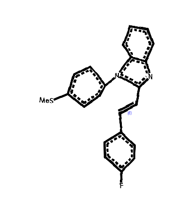 CSc1ccc(-n2c(/C=C/c3ccc(F)cc3)nc3ccccc32)cc1